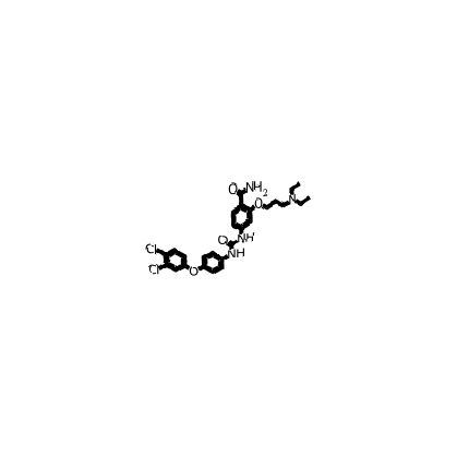 CCN(CC)CCCOc1cc(NC(=O)Nc2ccc(Oc3ccc(Cl)c(Cl)c3)cc2)ccc1C(N)=O